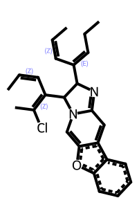 C/C=C\C(=C(/C)Cl)C1C(C(/C=C\C)=C/CC)N=C2C=c3c(oc4ccccc34)=CN21